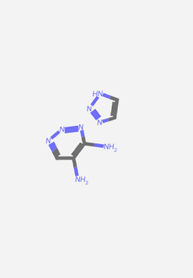 Nc1cnnnc1N.c1c[nH]nn1